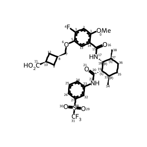 COc1cc(F)c(OC[C@H]2C[C@@H](C(=O)O)C2)cc1C(=O)N[C@H]1[C@@H](C(=O)Nc2cccc(S(=O)(=O)C(F)(F)F)c2)[C@H](C)CC[C@@H]1C